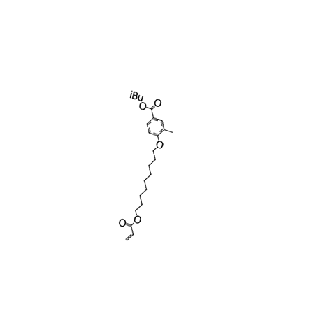 C=CC(=O)OCCCCCCCCCOc1ccc(C(=O)OC(C)CC)cc1C